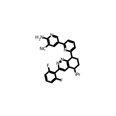 CC(C)C1CCC(c2cccc(-c3cnc(N)c(C#N)c3)n2)c2nnc(-c3c(F)cccc3F)cc21